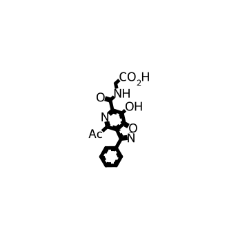 CC(=O)c1nc(C(=O)NCC(=O)O)c(O)c2onc(-c3ccccc3)c12